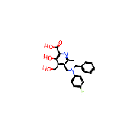 Cc1nc(C(=O)O)c(O)c(CO)c1CN(Cc1ccccc1)c1ccc(F)cc1